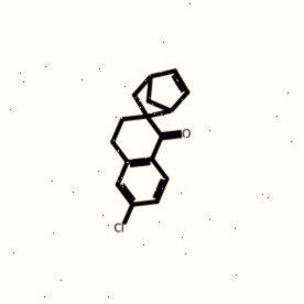 O=C1c2ccc(Cl)cc2CCC12CC1C=CC2C1